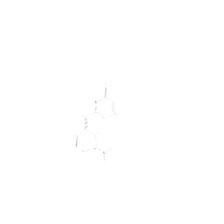 O=C(O)N1CCC/C(=C/c2cccc(F)c2)C1